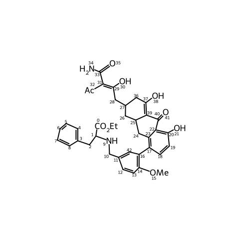 CCOC(=O)C(Cc1ccccc1)NCc1ccc(OC)c(-c2ccc(O)c3c2CC2CC(C/C(O)=C(\C(C)=O)C(N)=O)CC(O)=C2C3=O)c1